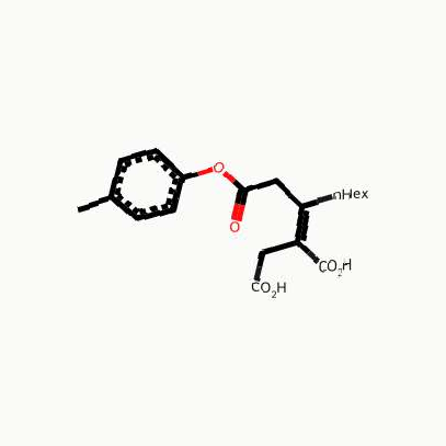 CCCCCCC(CC(=O)Oc1ccc(C)cc1)=C(CC(=O)O)C(=O)O